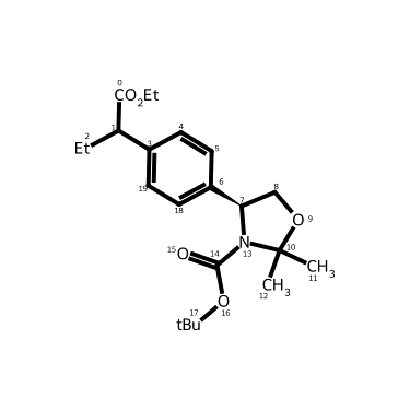 CCOC(=O)C(CC)c1ccc([C@H]2COC(C)(C)N2C(=O)OC(C)(C)C)cc1